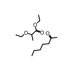 CCCCCC(C)=O.CCOC(=O)C(C)OCC